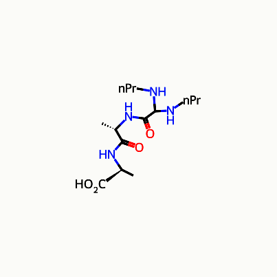 CCCNC(NCCC)C(=O)N[C@@H](C)C(=O)N[C@@H](C)C(=O)O